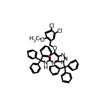 COc1cc(Cl)c(Cl)cc1COc1cc(NC(c2ccccc2)(c2ccccc2)c2ccccc2)nc2c1nnn2C(c1ccccc1)(c1ccccc1)c1ccccc1